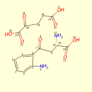 Nc1ccccc1C(=O)C[C@H](N)C(=O)O.O=C(O)CCC(=O)C(=O)O